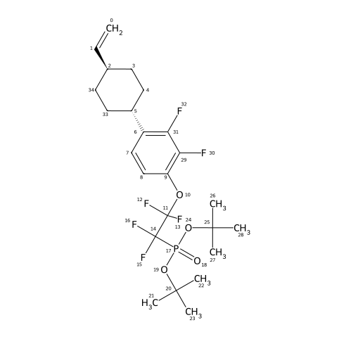 C=C[C@H]1CC[C@H](c2ccc(OC(F)(F)C(F)(F)P(=O)(OC(C)(C)C)OC(C)(C)C)c(F)c2F)CC1